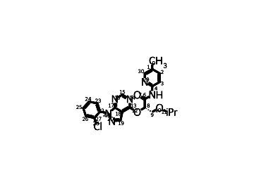 Cc1ccc(NC(=O)[C@H](COC(C)C)Oc2ncnc3c2cnn3-c2ccccc2Cl)nc1